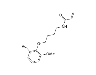 C=CC(=O)NCCCCOc1c(OC)cccc1C(C)=O